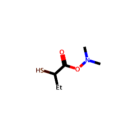 CCC(S)C(=O)ON(C)C